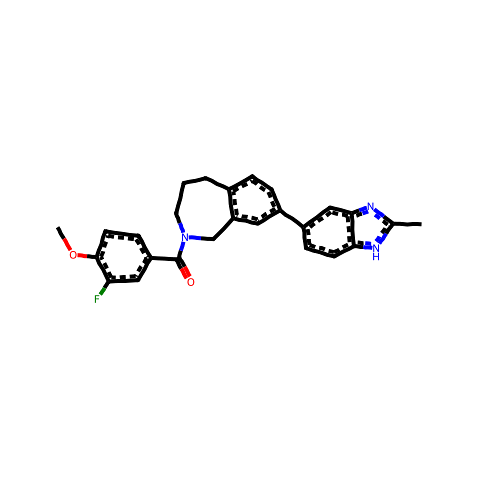 COc1ccc(C(=O)N2CCCc3ccc(-c4ccc5[nH]c(C)nc5c4)cc3C2)cc1F